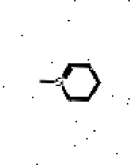 C[Si]1=CCCCC1